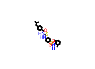 Cc1cccc(C)c1NS(=O)(=O)c1ccc(NC(=S)NC(=O)c2ccc(CC(C)C)cc2)cc1